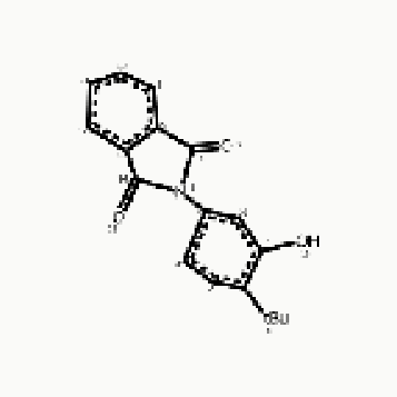 CC(C)(C)c1ccc(N2C(=O)c3ccccc3C2=O)cc1O